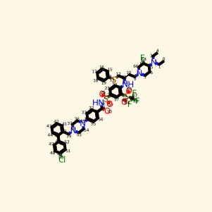 CCN(CC)C1CCN(CC[C@H](CSc2ccccc2)Nc2ccc(S(=O)(=O)NC(=O)c3ccc(N4CCN(Cc5ccccc5-c5ccc(Cl)cc5)CC4)cc3)cc2S(=O)(=O)C(F)(F)F)CC1F